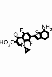 NC1CCCc2cc(-c3cc(F)c4c(=O)c(C(=O)O)cn(C5CC5)c4c3F)sc21